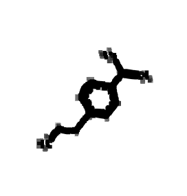 C=C(N)c1ccc(CCC)cc1